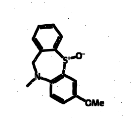 COc1ccc2c(c1)[S+]([O-])c1ccccc1CN2C